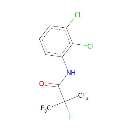 O=C(Nc1cccc(Cl)c1Cl)C(F)(C(F)(F)F)C(F)(F)F